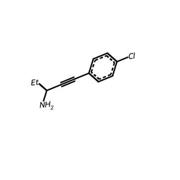 CCC(N)C#Cc1ccc(Cl)cc1